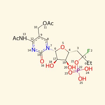 CCC(F)(C[C@H]1O[C@@H](n2cc(COC(C)=O)c(NC(C)=O)nc2=O)[C@H](O)[C@@H]1O)OP(=O)(O)O